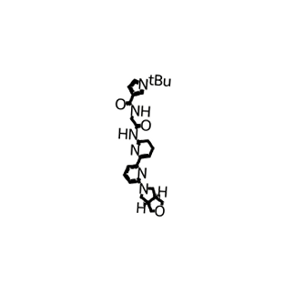 CC(C)(C)n1ccc(C(=O)NCC(=O)NC2=NC(c3cccc(N4C[C@H]5COC[C@H]5C4)n3)=CCC2)c1